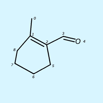 CC1=C(C=O)CCCC1